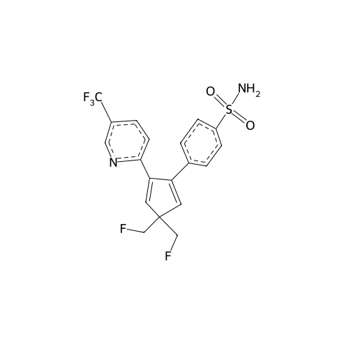 NS(=O)(=O)c1ccc(C2=CC(CF)(CF)C=C2c2ccc(C(F)(F)F)cn2)cc1